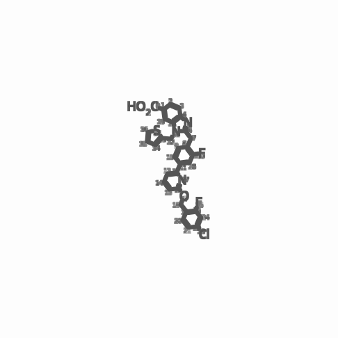 O=C(O)c1ccc2nc(Cc3ccc(-c4cccc(OCc5ccc(Cl)cc5F)n4)cc3F)n(Cc3cccs3)c2c1